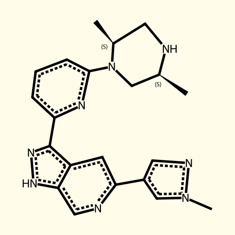 C[C@H]1CN(c2cccc(-c3n[nH]c4cnc(-c5cnn(C)c5)cc34)n2)[C@@H](C)CN1